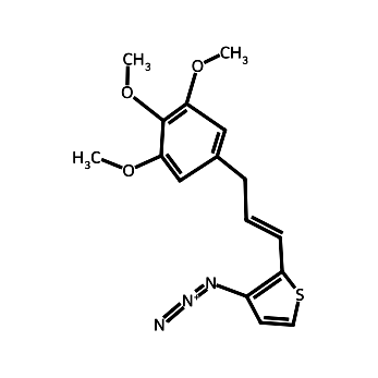 COc1cc(C/C=C/c2sccc2N=[N+]=[N-])cc(OC)c1OC